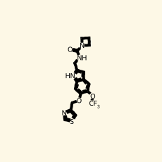 O=C(NCc1cc2cc(OC(F)(F)F)c(OCc3cscn3)cc2[nH]1)N1CCC1